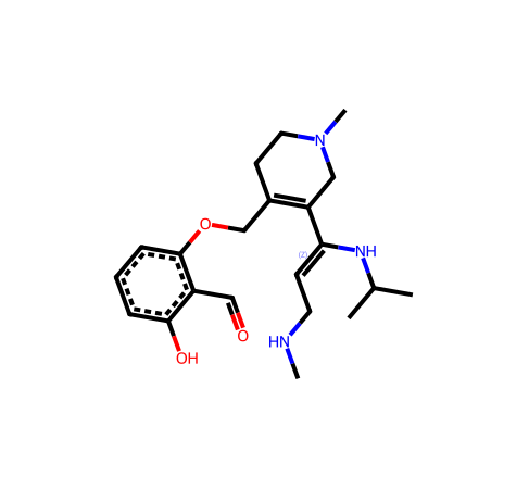 CNC/C=C(\NC(C)C)C1=C(COc2cccc(O)c2C=O)CCN(C)C1